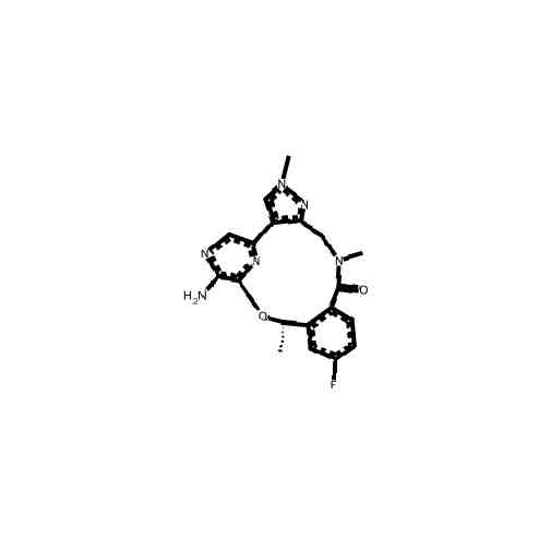 C[C@@H]1Oc2nc(cnc2N)-c2cn(C)nc2CN(C)C(=O)c2ccc(F)cc21